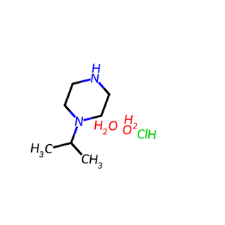 CC(C)N1CCNCC1.Cl.O.O